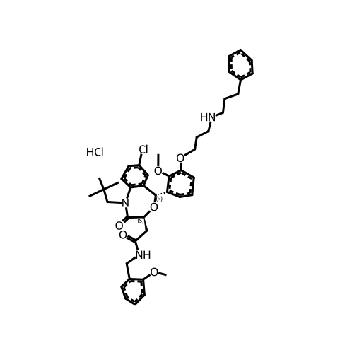 COc1ccccc1CNC(=O)C[C@@H]1O[C@@H](c2cccc(OCCCNCCCc3ccccc3)c2OC)c2cc(Cl)ccc2N(CC(C)(C)C)C1=O.Cl